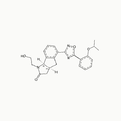 CC(C)Oc1ccccc1-c1nc(-c2cccc3c2C[C@H]2CC(=O)N(CCO)[C@@H]32)no1